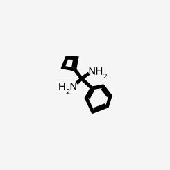 NC(N)(C1=CCC1)c1ccccc1